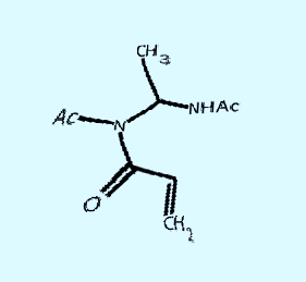 C=CC(=O)N(C(C)=O)C(C)NC(C)=O